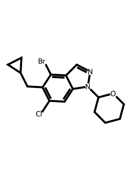 Clc1cc2c(cnn2C2CCCCO2)c(Br)c1CC1CC1